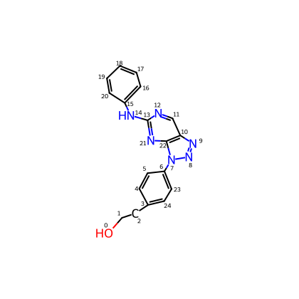 OCCc1ccc(-n2nnc3cnc(Nc4ccccc4)nc32)cc1